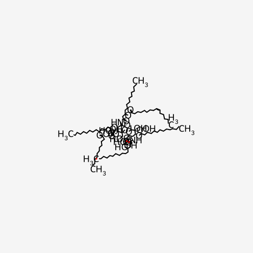 CCCCCC/C=C\CCCCCCCC(=O)OC(CCCCCCCCCCC)CC(=O)NC1[C@H](OCC2OC(OP(=O)(O)O)C(NC(=O)CC(O)CCCCCCCCCCC)[C@@H](OC(=O)CC(O)CCCCCCCCCCC)[C@@H]2O)OC(CO)[C@@H](OP(=O)(O)O)[C@@H]1OC(=O)CC(CCCCCCCCCCC)OC(=O)CCCCCCCCCCC